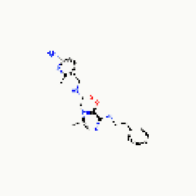 Cc1nc(N)ccc1CNC(=O)Cn1c(C)cnc(NCCc2ccccc2)c1=O